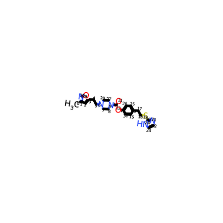 Cc1cc(CCN2CCN(C(=O)Oc3ccc(CCSc4ncc[nH]4)cc3)CC2)on1